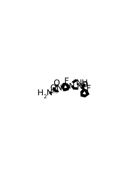 NC[C@H]1CN(c2ccc(N3CCNN(C(=O)c4ccccc4F)CC3)c(F)c2)C(=O)O1